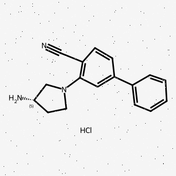 Cl.N#Cc1ccc(-c2ccccc2)cc1N1CC[C@H](N)C1